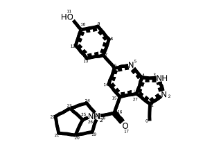 Cc1n[nH]c2nc(-c3ccc(O)cc3)cc(C(=O)N3CC4CCC(C3)C4N)c12